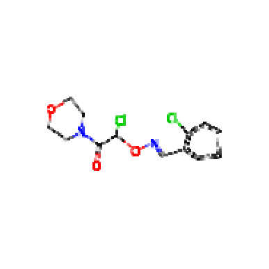 O=C(C(Cl)ON=Cc1ccccc1Cl)N1CCOCC1